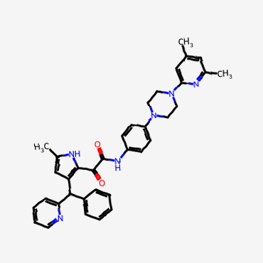 Cc1cc(C)nc(N2CCN(c3ccc(NC(=O)C(=O)c4[nH]c(C)cc4C(c4ccccc4)c4ccccn4)cc3)CC2)c1